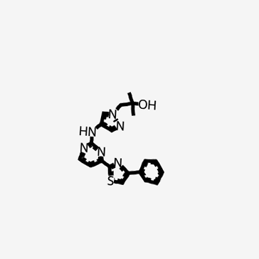 CC(C)(O)Cn1cc(Nc2nccc(-c3nc(-c4ccccc4)cs3)n2)cn1